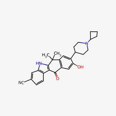 CC1(C)c2cc(C3CCN(C4CCC4)CC3)c(O)cc2C(=O)c2c1[nH]c1cc(C#N)ccc21